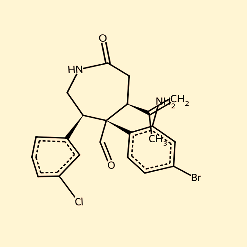 C=C(C)[C@@H]1CC(=O)NC[C@H](c2cccc(Cl)c2)[C@]1(C=O)c1ccc(Br)cc1N